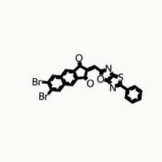 O=C1C(=Cc2nc3sc(-c4ccccc4)nc3o2)C(=O)c2cc3cc(Br)c(Br)cc3cc21